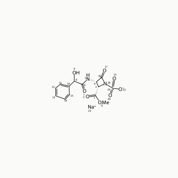 COC(=O)[C@@H]1[C@H](NC(=O)C(O)c2ccccc2)C(=O)N1S(=O)(=O)[O-].[Na+]